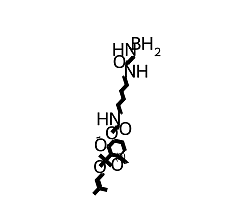 BNCC(=O)NCCCCCCNC(=O)OC1CC[C@]2(CO2)C(C(C)(C)OCC=C(C)C)C1OC